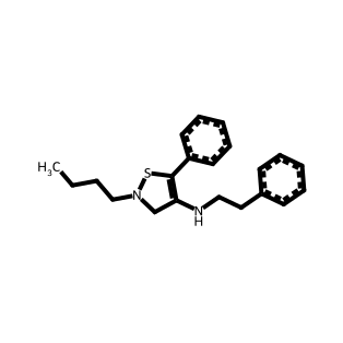 CCCCN1CC(NCCc2ccccc2)=C(c2ccccc2)S1